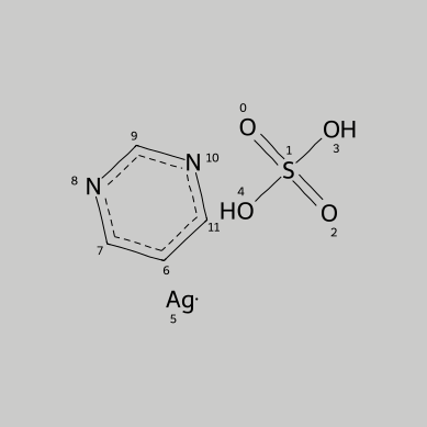 O=S(=O)(O)O.[Ag].c1cncnc1